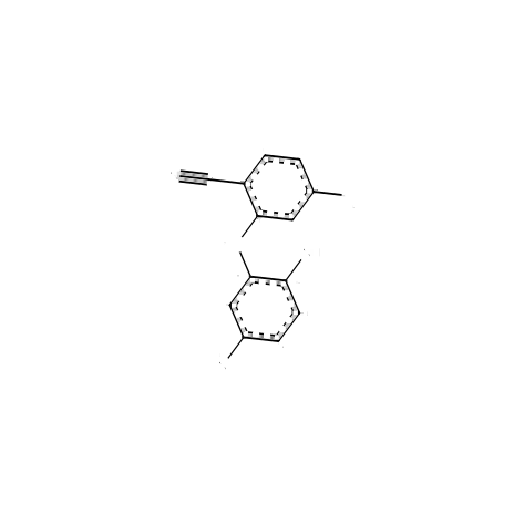 N#Cc1ccc(O)cc1Sc1cc(N)ccc1N